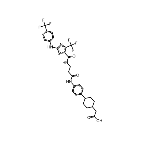 O=C(O)CC1CCC(c2ccc(NC(=O)CCNC(=O)c3sc(Nc4ccc(C(F)(F)F)nc4)nc3C(F)(F)F)cc2)CC1